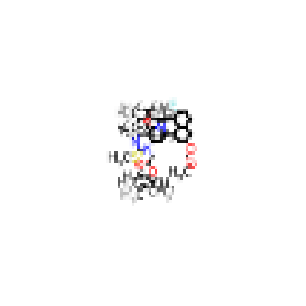 COCOc1cc(-c2cc3c(c(OC)n2)C=NC([S+](C)[O-])N3CCO[Si](C)(C)C(C)(C)C)c2c(C#C[Si](C(C)C)(C(C)C)C(C)C)c(F)ccc2c1